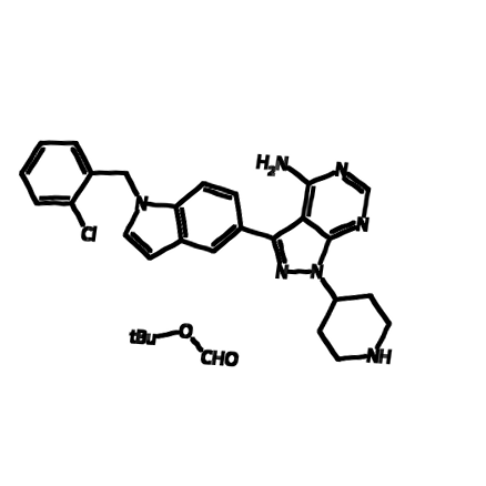 CC(C)(C)OC=O.Nc1ncnc2c1c(-c1ccc3c(ccn3Cc3ccccc3Cl)c1)nn2C1CCNCC1